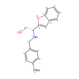 COc1ccc(CN[C@H](CO)c2cc3ccccc3o2)cc1